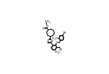 CCOC(=O)C1CCCCC(c2nc(-c3cccc(/C=N\C)c3OCc3ccc(Br)cc3C)cs2)CC1